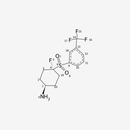 N[C@H]1CC[C@@](F)(S(=O)(=O)c2cccc(C(F)(F)F)c2)CC1